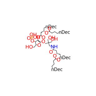 CCCCCCCCCCCCCC(=O)O[C@H](CCCCCCCCCCC)CC(=O)NCC(CO)(CO)COC1=C(OC(=O)C[C@@H](CCCCCCCCCCC)OC(=O)CCCCCCCCCCCCC)[C@H](OP(=O)(O)O)C(CO)O1